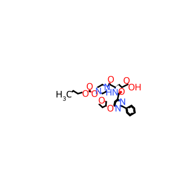 CCCCOC(=O)ON1CCN(C(=O)[C@H](CCC(=O)O)NC(=O)c2cc(O[C@@H]3CCOC3)nc(-c3ccccc3)n2)CC1